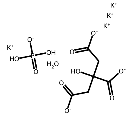 O.O=C([O-])CC(O)(CC(=O)[O-])C(=O)[O-].O=P([O-])(O)O.[K+].[K+].[K+].[K+]